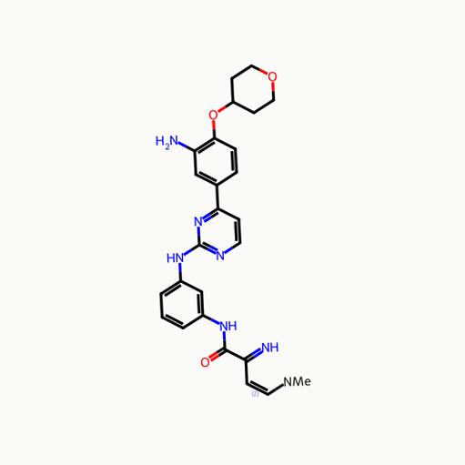 CN/C=C\C(=N)C(=O)Nc1cccc(Nc2nccc(-c3ccc(OC4CCOCC4)c(N)c3)n2)c1